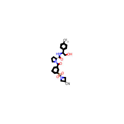 N#CC1CN(S(=O)(=O)c2cccc(C(=O)N3CCC[C@@H]3C(=O)NC(CO)c3ccc(C(F)(F)F)cc3)c2)C1